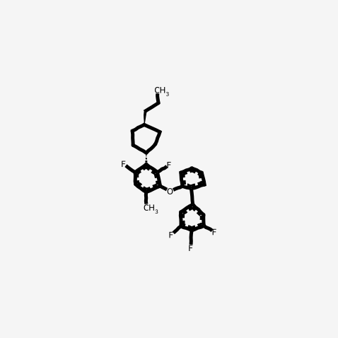 CCC[C@H]1CC[C@H](c2c(F)cc(C)c(Oc3ccccc3-c3cc(F)c(F)c(F)c3)c2F)CC1